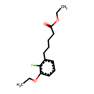 CCOC(=O)CCCCc1cccc(OCC)c1F